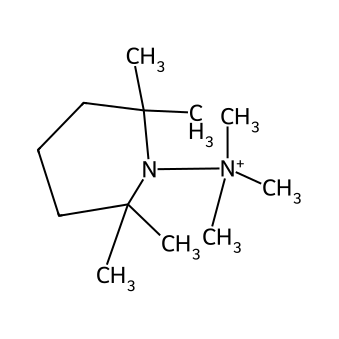 CC1(C)CCCC(C)(C)N1[N+](C)(C)C